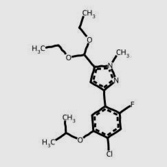 CCOC(OCC)c1cc(-c2cc(OC(C)C)c(Cl)cc2F)nn1C